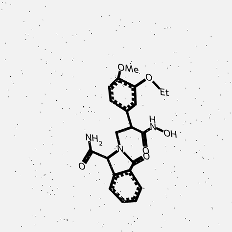 CCOc1cc(C(CN2C(=O)c3[c]cccc3C2C(N)=O)C(=O)NO)ccc1OC